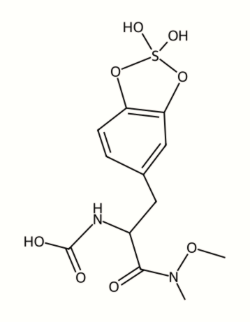 CON(C)C(=O)C(Cc1ccc2c(c1)OS(O)(O)O2)NC(=O)O